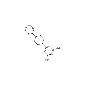 Nc1nc(N)nc([C@H]2CC[C@H](c3ccccc3)CC2)n1